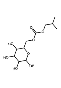 CC(C)COC(=O)OCC1OC(O)C(O)C(O)C1O